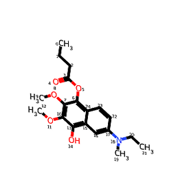 CCCC(=O)Oc1c(OC)c(OC)c(O)c2cc(N(C)CC)ccc12